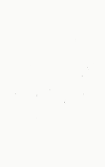 COc1c(Cl)ccc(C(C)=O)c1F